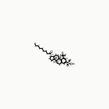 CCCCCCCCC(=O)[C@H]1CC[C@H]2[C@@H]3CCc4cc(S(=O)(=O)O)cc(C(F)(F)F)c4[C@H]3CC[C@]12C